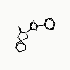 O=C1O[C@]2(CN3CCC2CC3)CN1c1csc(-c2ccccc2)n1